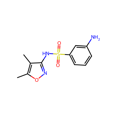 Cc1onc(NS(=O)(=O)c2cccc(N)c2)c1C